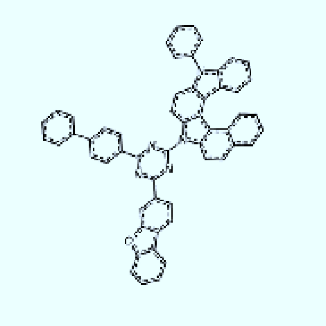 c1ccc(-c2ccc(-c3nc(-c4ccc5c(c4)oc4ccccc45)nc(-n4c5ccc6ccccc6c5c5c6c7ccccc7n(-c7ccccc7)c6ccc54)n3)cc2)cc1